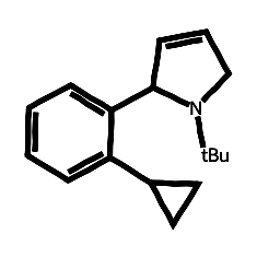 CC(C)(C)N1CC=CC1c1ccccc1C1CC1